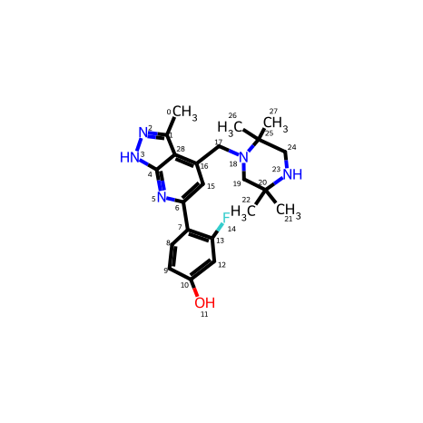 Cc1n[nH]c2nc(-c3ccc(O)cc3F)cc(CN3CC(C)(C)NCC3(C)C)c12